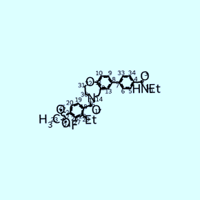 CCNC(=O)c1ccc(-c2ccc3c(c2)CN(C(=O)c2ccc(S(C)(=O)=O)c(F)c2CC)CCO3)cc1